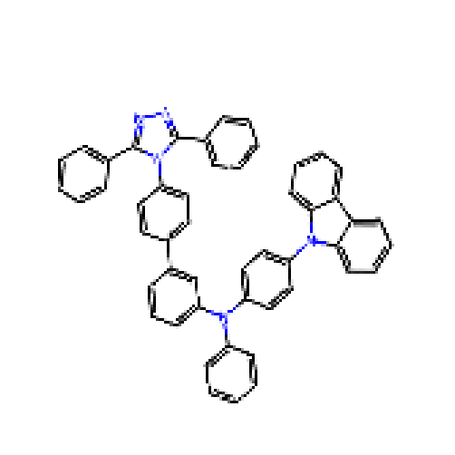 c1ccc(-c2nnc(-c3ccccc3)n2-c2ccc(-c3cccc(N(c4ccccc4)c4ccc(-n5c6ccccc6c6ccccc65)cc4)c3)cc2)cc1